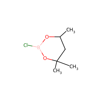 CC1CC(C)(C)OB(Cl)O1